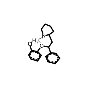 CN1CCCCC1CC(Oc1ccccc1Cl)c1ccccc1